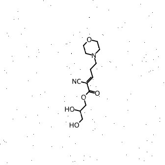 N#C/C(=C\CCN1CCOCC1)C(=O)OCC(O)CO